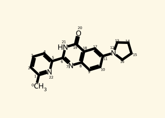 Cc1cccc(-c2nc3ccc(N4CCCC4)cc3c(=O)[nH]2)n1